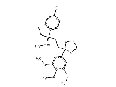 CCC(CCC1(c2cc(OC)c(OC)c(OC)c2)OCCO1)(NC)c1ccc(Cl)cc1